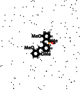 COc1cccc(OC)c1Cc1cccc(P=O)c1Cc1c(OC)cccc1OC